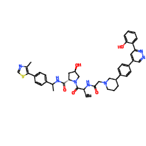 Cc1ncsc1-c1ccc(C(C)NC(=O)[C@@H]2C[C@@H](O)CN2C(=O)C(NC(=O)CN2CCCC(c3ccc(-c4cnnc(-c5ccccc5O)c4)cc3)C2)C(C)(C)C)cc1